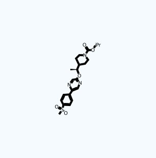 CC(C)OC(=O)N1CCC([C@H](C)Oc2cnc(-c3ccc(S(C)(=O)=O)cc3)cn2)CC1